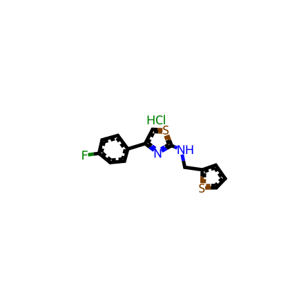 Cl.Fc1ccc(-c2csc(NCc3cccs3)n2)cc1